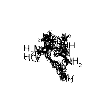 CCn1nc(C)cc1C(=O)Nc1nc2cc(C(N)=O)cc(OC)c2n1C/C=C/Cn1c(NC(=O)c2cc(C)nn2CC)nc2cc(C(N)=O)cc(OCC#CC3CCN(C(=O)OC4CCNCC4)CC3)c21.Cl